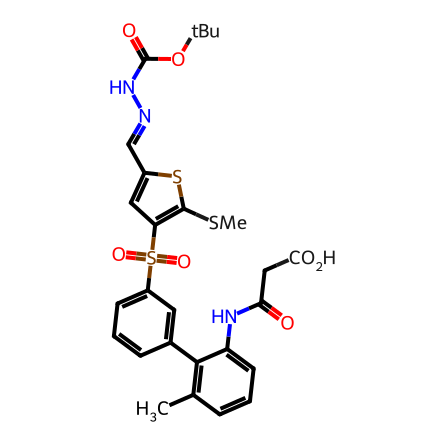 CSc1sc(C=NNC(=O)OC(C)(C)C)cc1S(=O)(=O)c1cccc(-c2c(C)cccc2NC(=O)CC(=O)O)c1